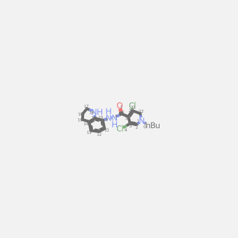 CCCCN1C=C(Cl)C(C(=O)NNc2cccc3c2NCCC3)=C(Cl)C1